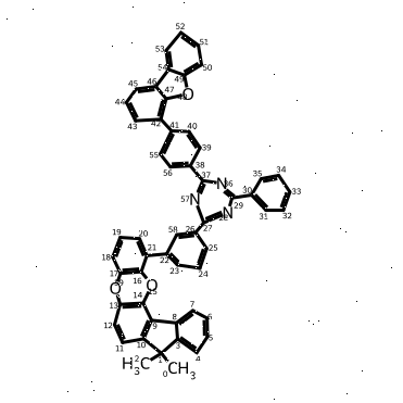 CC1(C)c2ccccc2-c2c1ccc1c2Oc2c(cccc2-c2cccc(-c3nc(-c4ccccc4)nc(-c4ccc(-c5cccc6c5oc5ccccc56)cc4)n3)c2)O1